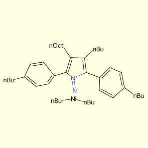 CCCCCCCCC1=C(c2ccc(CCCC)cc2)[N+](=[N-])C(c2ccc(CCCC)cc2)=C1CCCC.CCC[CH2][Ni][CH2]CCC